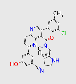 Cc1cc(Cl)cc(-c2cnc3ccc(-c4cc(O)cc(C#N)c4)nc3c2C(=O)N(C)C[C@@H]2CCCN2)c1